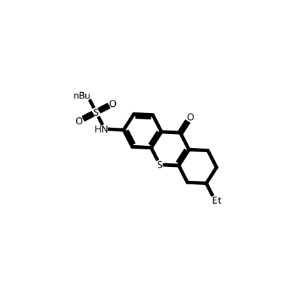 CCCCS(=O)(=O)Nc1ccc2c(=O)c3c(sc2c1)CC(CC)CC3